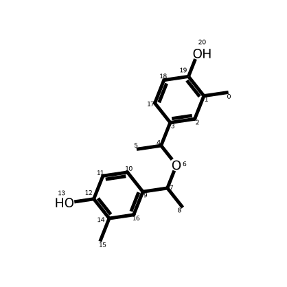 Cc1cc(C(C)OC(C)c2ccc(O)c(C)c2)ccc1O